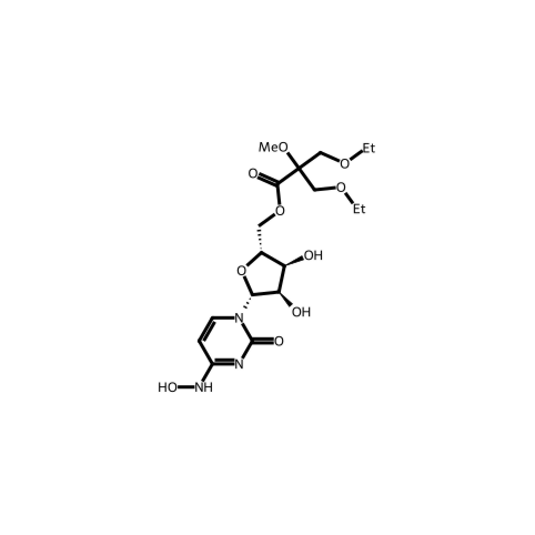 CCOCC(COCC)(OC)C(=O)OC[C@H]1O[C@@H](n2ccc(NO)nc2=O)[C@H](O)[C@@H]1O